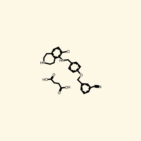 N#Cc1cccc(COc2ccc(CNc3c(Cl)ccc4c3CCNCC4)cc2)c1.O=C(O)CCC(=O)O